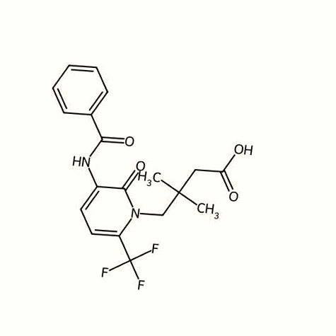 CC(C)(CC(=O)O)Cn1c(C(F)(F)F)ccc(NC(=O)c2ccccc2)c1=O